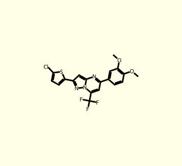 COc1ccc(-c2cc(C(F)(F)F)n3nc(-c4ccc(Cl)s4)cc3n2)cc1OC